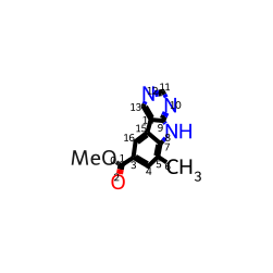 COC(=O)c1cc(C)c2[nH]c3ncncc3c2c1